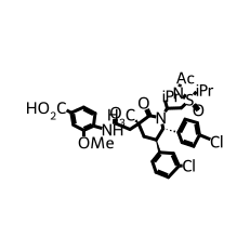 COc1cc(C(=O)O)ccc1NC(=O)C[C@@]1(C)C[C@H](c2cccc(Cl)c2)[C@@H](c2ccc(Cl)cc2)N(C(CS(=O)(=NC(C)=O)C(C)C)C(C)C)C1=O